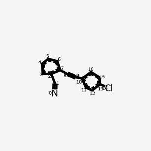 N#Cc1ccccc1C#Cc1ccc(Cl)cc1